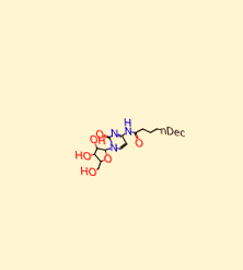 CCCCCCCCCCCCCC(=O)Nc1ccn(C2OC(CO)C(O)C2O)c(=O)n1